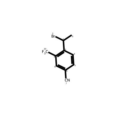 CC(Br)c1ccc(C#N)cc1C(F)(F)F